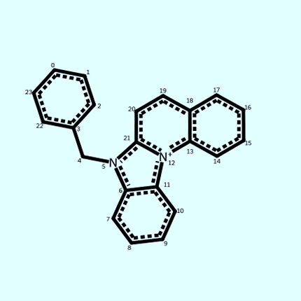 c1ccc(Cn2c3ccccc3[n+]3c4ccccc4ccc23)cc1